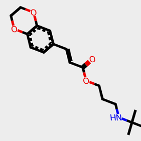 CC(C)(C)NCCCOC(=O)/C=C/c1ccc2c(c1)OCCO2